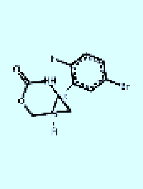 O=C1N[C@@]2(c3cc(Br)ccc3F)C[C@H]2CO1